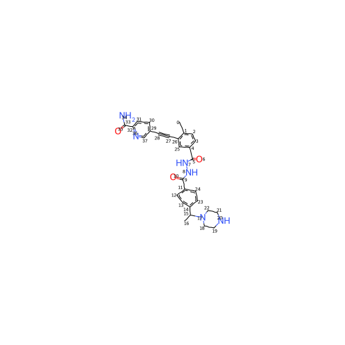 Cc1ccc(C(=O)NNC(=O)c2ccc(C(C)N3CCNCC3)cc2)cc1C#Cc1ccc(C(N)=O)nc1